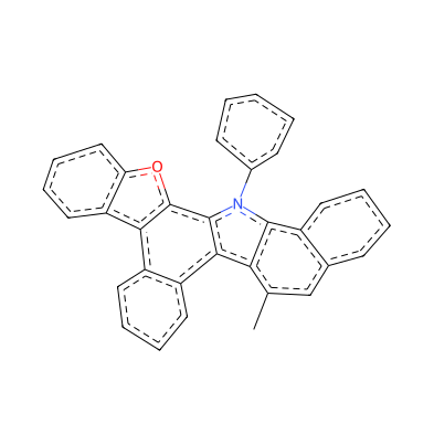 Cc1cc2ccccc2c2c1c1c3ccccc3c3c4ccccc4oc3c1n2-c1ccccc1